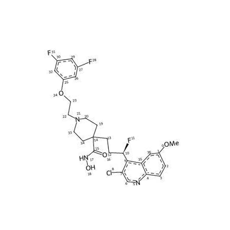 COc1ccc2ncc(Cl)c([C@H](F)CCC3(C(=O)NO)CCN(CCOc4cc(F)cc(F)c4)CC3)c2c1